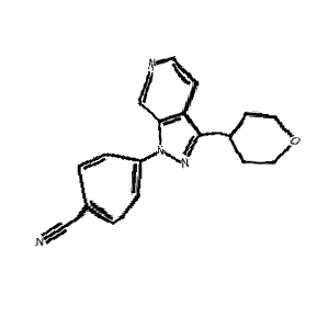 N#Cc1ccc(-n2nc(C3CCOCC3)c3ccncc32)cc1